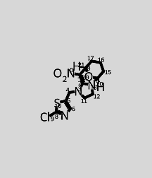 O=[N+]([O-])C1=C2N(Cc3cnc(Cl)s3)CCN2[C@H]2CCC[C@@H]1O2